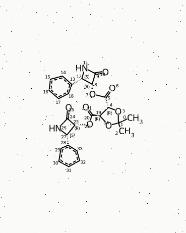 CC1(C)O[C@@H](C(=O)O[C@H]2C(=O)N[C@H]2c2ccccc2)[C@H](C(=O)O[C@H]2C(=O)N[C@H]2c2ccccc2)O1